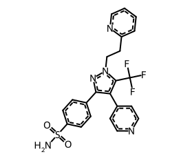 NS(=O)(=O)c1ccc(-c2nn(CCc3ccccn3)c(C(F)(F)F)c2-c2ccncc2)cc1